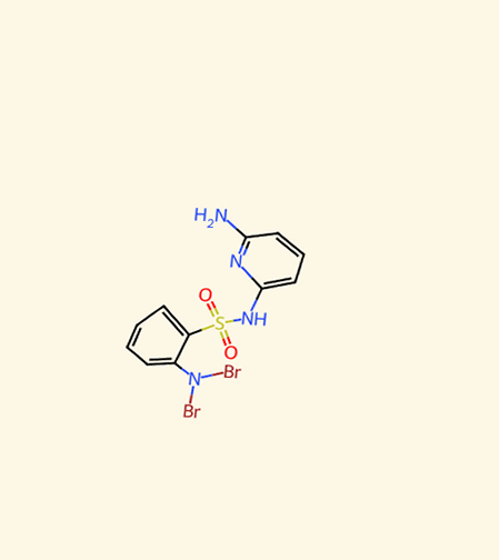 Nc1cccc(NS(=O)(=O)c2ccccc2N(Br)Br)n1